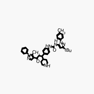 Cc1ccc(-n2nc(C(C)(C)C)cc2NC(=O)Nc2ccc(C(CC(=O)c3cnn(-c4ccccc4)c3C)C3CCNCC3)cc2)cc1